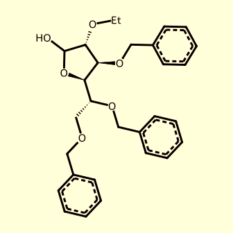 CCO[C@H]1C(O)O[C@H]([C@@H](COCc2ccccc2)OCc2ccccc2)[C@@H]1OCc1ccccc1